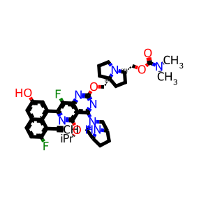 C#Cc1c(F)ccc2cc(O)cc(-c3nc(OC(C)C)c4c(N5CC6CCC(C5)N6)nc(OC[C@]56CCCN5[C@H](COC(=O)N(C)C)CC6)nc4c3F)c12